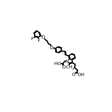 Cc1c(CCCC(=O)O)c2cccc(/C=C/c3ccc(OCCCCOc4cccc(F)c4F)cc3)c2n1CC(=O)O